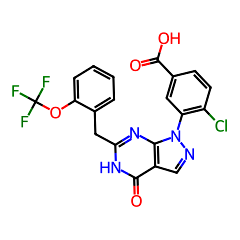 O=C(O)c1ccc(Cl)c(-n2ncc3c(=O)[nH]c(Cc4ccccc4OC(F)(F)F)nc32)c1